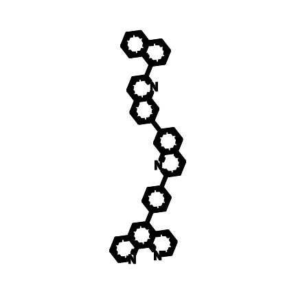 c1ccc2c(-c3ccc4ccc(-c5ccc6ccc(-c7ccc(-c8cc9cccnc9c9ncccc89)cc7)nc6c5)cc4n3)cccc2c1